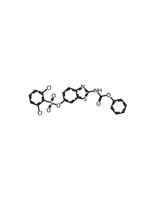 O=C(Nc1nc2ccc(OS(=O)(=O)c3c(Cl)cccc3Cl)cc2s1)Oc1ccccc1